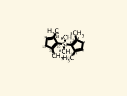 CC1=CCC(C)=C1[Si](C)(C)C1=C(C)CC=C1C